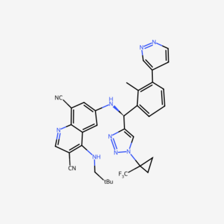 Cc1c(-c2ccnnc2)cccc1[C@H](Nc1cc(C#N)c2ncc(C#N)c(NCC(C)(C)C)c2c1)c1cn(C2(C(F)(F)F)CC2)nn1